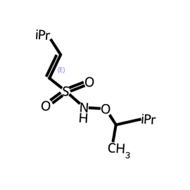 CC(C)/C=C/S(=O)(=O)NOC(C)C(C)C